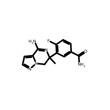 CC1(c2cc(C(N)=O)ccc2F)Cn2nccc2C(N)=N1